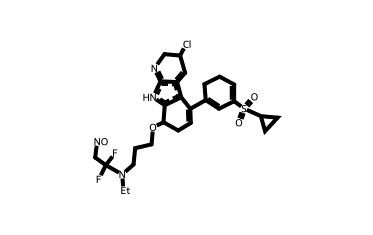 CCN(CCCOC1CC=C(C2=CC(S(=O)(=O)C3CC3)=CCC2)c2c1[nH]c1c2=CC(Cl)CN=1)C(F)(F)CN=O